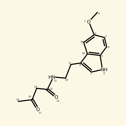 COc1ccc2[nH]cc(CCNC(=O)CC(C)=O)c2c1